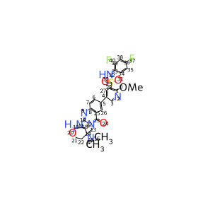 COc1ncc(-c2ccc3nc(N)n(CC4(N(C)C)CCOCC4)c(=O)c3c2)cc1S(=O)(=O)Nc1ccc(F)cc1F